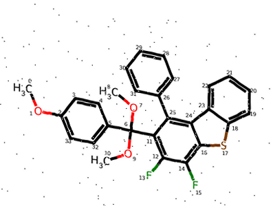 COc1ccc(C(OC)(OC)c2c(F)c(F)c3sc4ccccc4c3c2-c2ccccc2)cc1